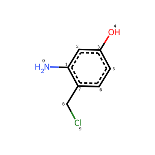 Nc1cc(O)ccc1CCl